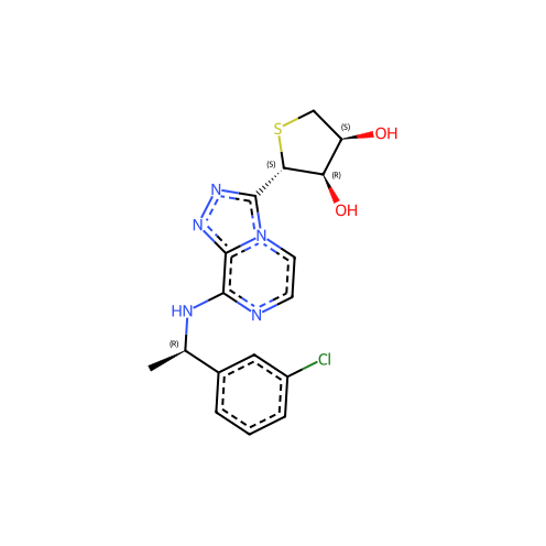 C[C@@H](Nc1nccn2c([C@@H]3SC[C@@H](O)[C@H]3O)nnc12)c1cccc(Cl)c1